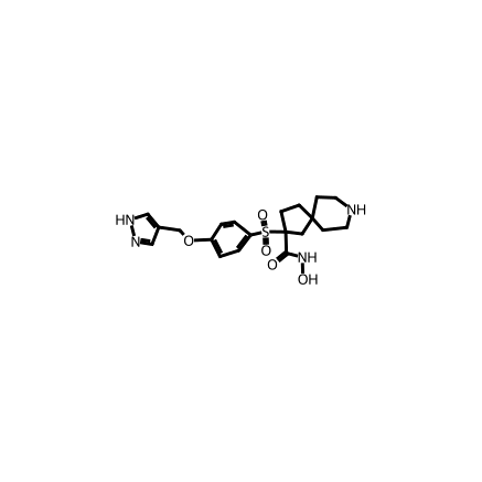 O=C(NO)C1(S(=O)(=O)c2ccc(OCc3cn[nH]c3)cc2)CCC2(CCNCC2)C1